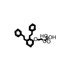 O=P(O)(O)OCCOc1cccc(CCc2ccccc2)c1CCc1ccccc1